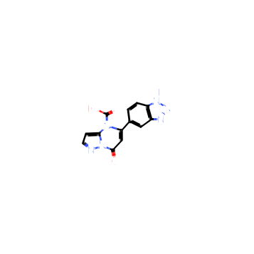 O=C(O)n1c(-c2ccc3[nH]nnc3c2)cc(=O)n2nccc12